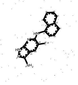 Nc1n[nH]c2nc(Nc3cccc4ccccc34)c(F)cc12